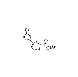 COC(=O)c1cccc(-c2csc(Cl)c2)c1